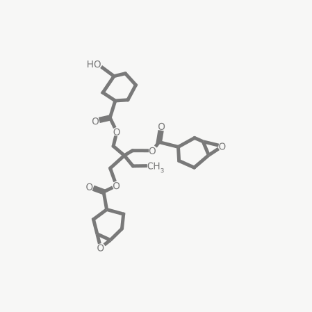 CCC(COC(=O)C1CCCC(O)C1)(COC(=O)C1CCC2OC2C1)COC(=O)C1CCC2OC2C1